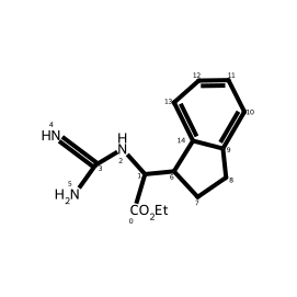 CCOC(=O)C(NC(=N)N)C1CCc2ccccc21